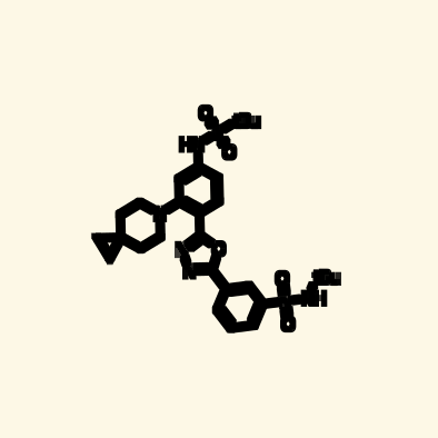 CC(C)(C)NS(=O)(=O)c1cccc(-c2nnc(-c3ccc(NS(=O)(=O)C(C)(C)C)cc3N3CCC4(CC3)CC4)o2)c1